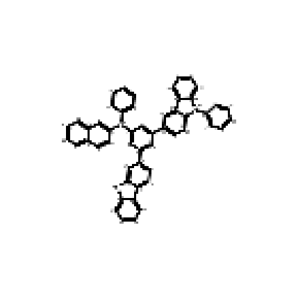 c1ccc(N(c2cc(-c3ccc4c(c3)oc3ccccc34)cc(-c3ccc4c(c3)c3ccccc3n4-c3ccccc3)c2)c2ccc3ccccc3c2)cc1